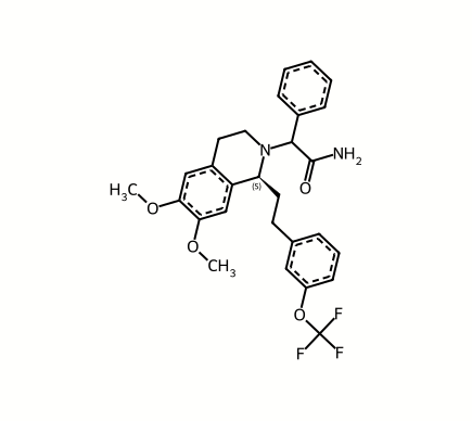 COc1cc2c(cc1OC)[C@H](CCc1cccc(OC(F)(F)F)c1)N(C(C(N)=O)c1ccccc1)CC2